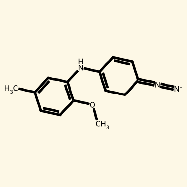 COc1ccc(C)cc1NC1=CCC(=[N+]=[N-])C=C1